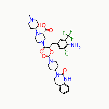 CN1CCC(N2CCN(C(=O)[C@@H](Cc3cc(Cl)c(N)c(C(F)(F)F)c3)OC(=O)N3CCC(N4CCc5ccccc5NC4=O)CC3)C[C@H]2C(=O)O)CC1